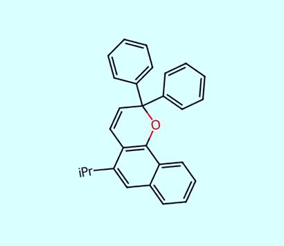 CC(C)c1cc2ccccc2c2c1C=CC(c1ccccc1)(c1ccccc1)O2